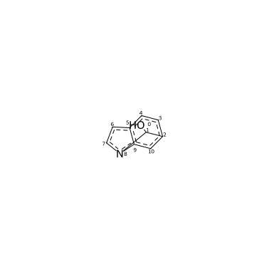 OC1c2ccc3ccn1c3c2